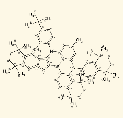 Cc1cc2c3c(c1)N(c1ccc(C(C)(C)C)cc1C)c1c(oc4cc5c(cc14)C(C)(C)CCC5(C)C)B3c1ccc3c(c1N2c1ccc2c(c1)C(C)(C)CCC2(C)C)C(C)(C)CCC3(C)C